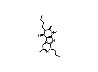 CCCCn1c(=O)c2c(nc3n2CC(C)=NN3CCC)n(C)c1=O